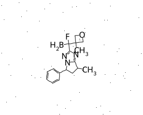 BC(F)(c1nc2n(n1)C(c1ccccc1)CC2C)C1(C)COC1